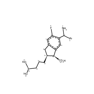 CC(C)C(N)c1cc2c(cc1F)C[C@H](CCCB(O)O)[C@@H]2C(=O)O